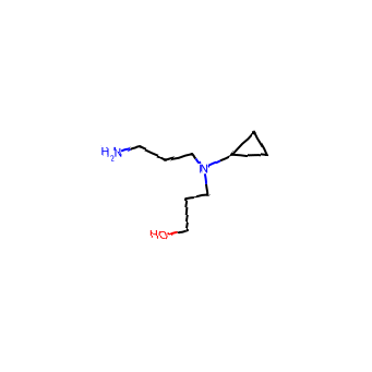 NCCCN(CCCO)C1CC1